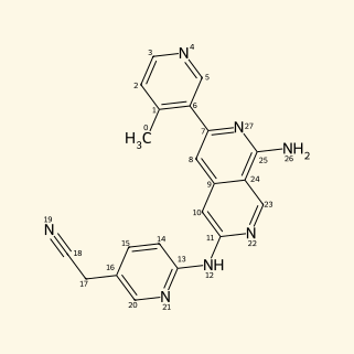 Cc1ccncc1-c1cc2cc(Nc3ccc(CC#N)cn3)ncc2c(N)n1